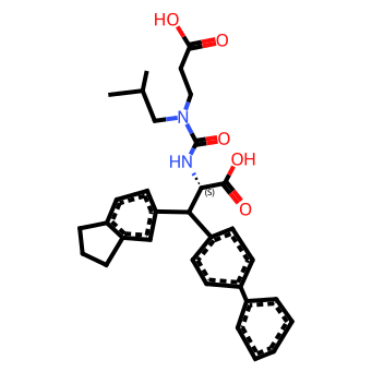 CC(C)CN(CCC(=O)O)C(=O)N[C@H](C(=O)O)C(c1ccc(-c2ccccc2)cc1)c1ccc2c(c1)CCC2